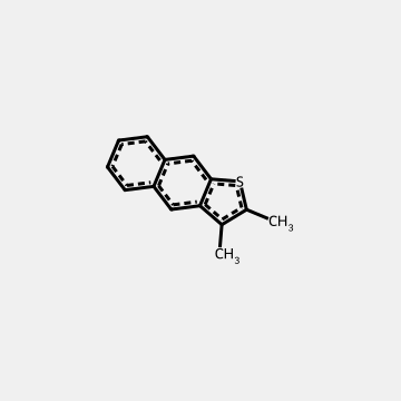 Cc1sc2cc3ccccc3cc2c1C